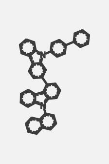 c1ccc(-c2ccc(-n3c4ccccc4c4ccc(-c5cccc6c5c5ccccc5n6-c5cccc6ccccc56)cc43)cc2)cc1